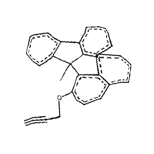 C#CCOc1ccc2ccccc2c1C1(C)c2ccccc2-c2ccccc21